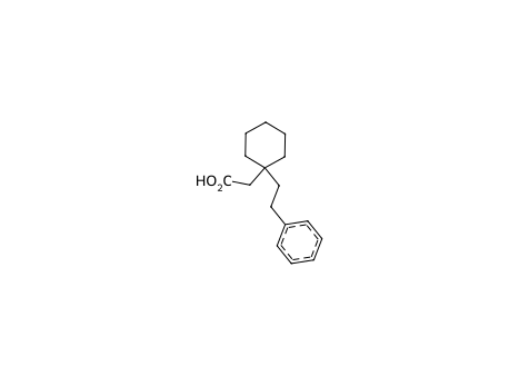 O=C(O)CC1(CCc2ccccc2)CCCCC1